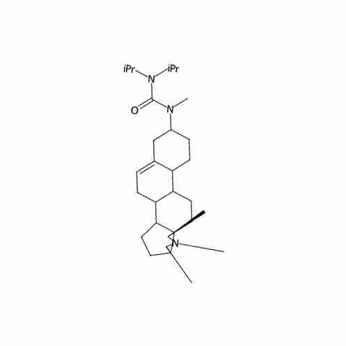 CC(C)N(C(=O)N(C)C1CCC2C(=CCC3C2CCC24C3CCC2C(C)N(C)[C@H]4C)C1)C(C)C